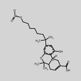 CC(C)(CCCCCCO[N+](=O)[O-])c1cc(O)c2c(c1)OC(C)(C)C1CC=C(C(=O)O)C[C@@H]21